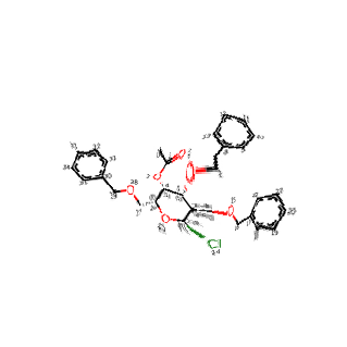 CC(=O)O[C@@H]1[C@H](OCc2ccccc2)[C@@H](OCc2ccccc2)[C@@H](Cl)O[C@@H]1COCc1ccccc1